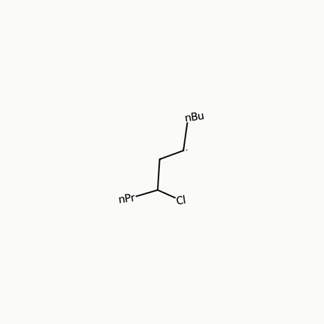 CCCC[CH]CC(Cl)CCC